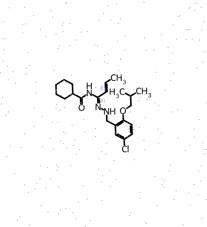 C/C=C/C(=N\NCc1cc(Cl)ccc1OCC(C)C)NC(=O)C1CCCCC1